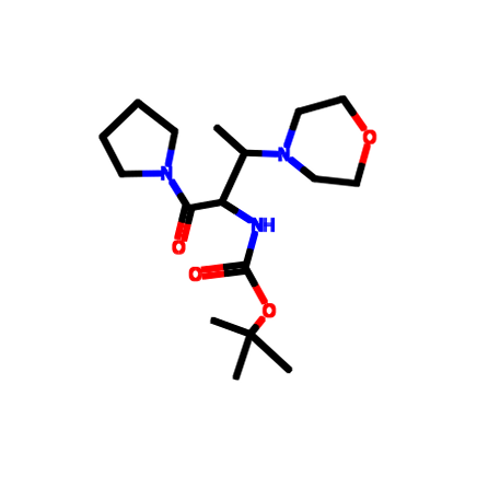 CC(C(NC(=O)OC(C)(C)C)C(=O)N1CCCC1)N1CCOCC1